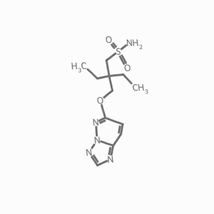 CCC(CC)(COc1ccc2ncnn2n1)CS(N)(=O)=O